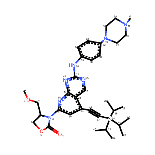 COCC1COC(=O)N1c1cc(C#C[Si](C(C)C)(C(C)C)C(C)C)c2cnc(Nc3ccc(N4CCN(C)CC4)cc3)nc2n1